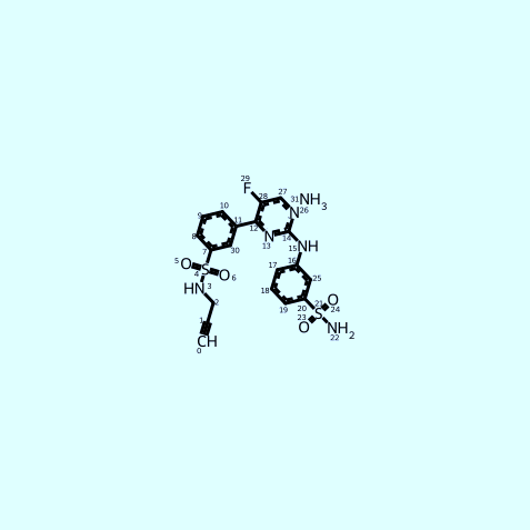 C#CCNS(=O)(=O)c1cccc(-c2nc(Nc3cccc(S(N)(=O)=O)c3)ncc2F)c1.N